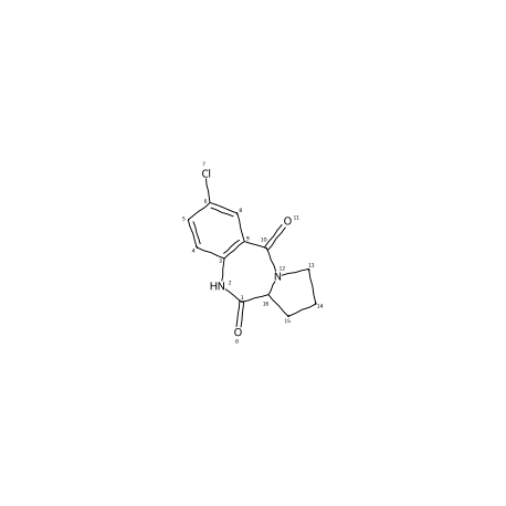 O=C1Nc2ccc(Cl)cc2C(=O)N2CCCC12